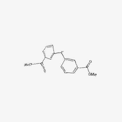 COC(=O)c1cccc([I+]c2cccc(C(=O)OC)c2)c1